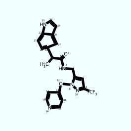 CC(C(=O)NCc1cc(C(F)(F)F)nn1Oc1ccncc1)c1ccc2[nH]ccc2c1